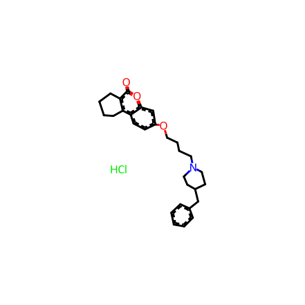 Cl.O=c1oc2cc(OCCCCN3CCC(Cc4ccccc4)CC3)ccc2c2c1CCCC2